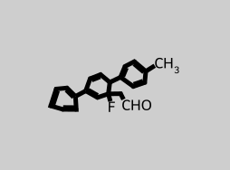 Cc1ccc(C2C=CC(c3ccccc3)=CC2(F)CC=O)cc1